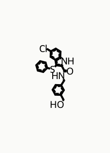 O=C(NCc1cccc(CO)c1)c1[nH]c2ccc(Cl)cc2c1Sc1ccccc1